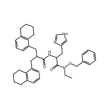 CCN(OCc1ccccc1)C(=O)C(Cc1c[nH]cn1)NC(=O)C(Cc1cccc2c1CCCC2)Cc1cccc2c1CCCC2